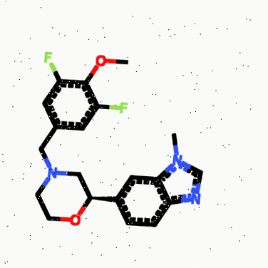 COc1c(F)cc(CN2CCO[C@H](c3ccc4ncn(C)c4c3)C2)cc1F